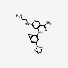 NCCNc1ncc(C(N)=O)c(Nc2cc(-n3nccn3)cc3c2C3)n1